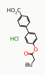 CCC(C)CC(=O)Oc1ccc(-c2ccc(C(=O)O)cc2)cc1.Cl